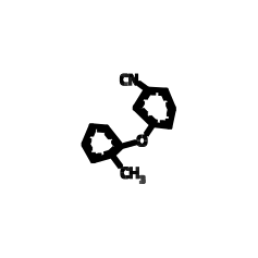 [C-]#[N+]c1cccc(Oc2ccccc2C)c1